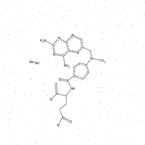 CN(Cc1cnc2nc(N)nc(N)c2n1)c1ccc(C(=O)NC(CCC(=O)[O-])C(=O)[O-])cc1.[Na+].[Na+]